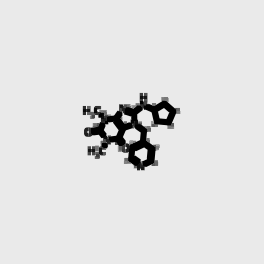 Cn1c(=O)c2c(nc(NC3CCCC3)n2Cc2ccncc2)n(C)c1=O